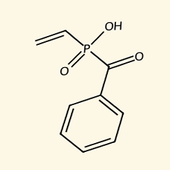 C=CP(=O)(O)C(=O)c1ccccc1